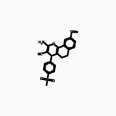 COc1ccc2c(c1)C1=C(CC2)C(c2ccc(S(C)(=O)=O)cc2)C(C#N)=C(N)O1